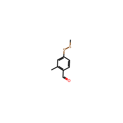 CSSc1ccc(C=O)c(C)c1